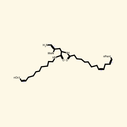 CCCCC/C=C\C/C=C\CCCCCCCC(=O)NC(C/C(=C/N)NC)C(=O)NCCCCCCCC/C=C\CCCCCCCC